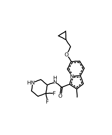 Cc1cc2ccc(OCC3CC3)cn2c1C(=O)NC1CNCCC1(F)F